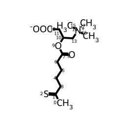 CC(=S)CCCCC(=O)OC(CC(=O)[O-])C[N+](C)(C)C